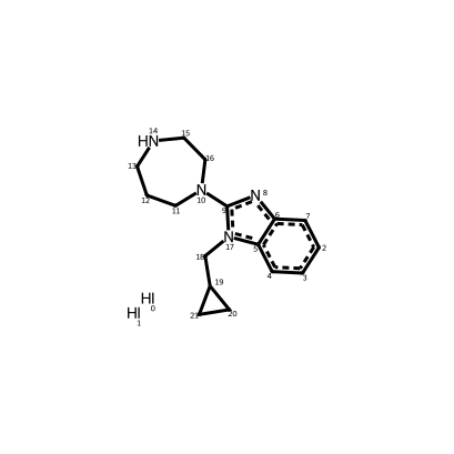 I.I.c1ccc2c(c1)nc(N1CCCNCC1)n2CC1CC1